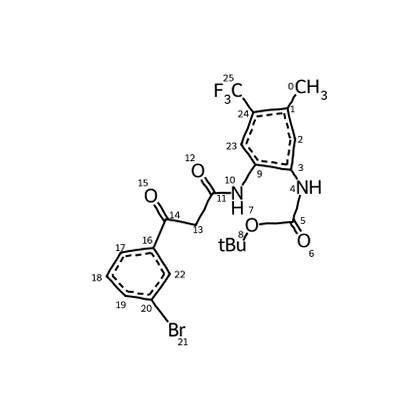 Cc1cc(NC(=O)OC(C)(C)C)c(NC(=O)CC(=O)c2cccc(Br)c2)cc1C(F)(F)F